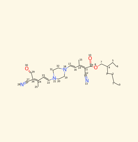 CCCCC(CC)COC(=O)/C(C#N)=C(C)/C=C/N1CCN(/C=C/C(C)=C(/C#N)C=O)CC1